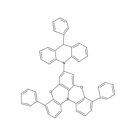 c1ccc(-c2cccc3c2Oc2cc(N4c5ccccc5C(c5ccccc5)c5ccccc54)cc4c2B3c2cccc(-c3ccccc3)c2O4)cc1